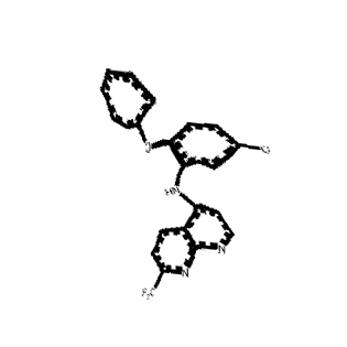 FC(F)(F)c1ccc2c(Nc3cc(Cl)ccc3Oc3ccccc3)ccnc2n1